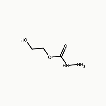 NNC(=O)OCCO